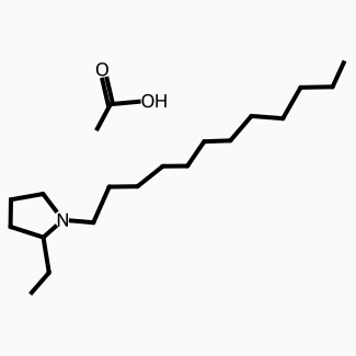 CC(=O)O.CCCCCCCCCCCCN1CCCC1CC